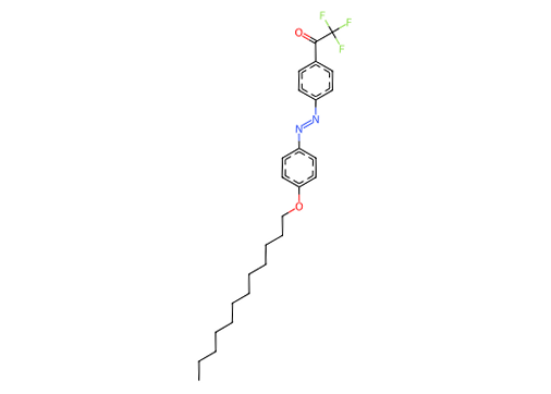 CCCCCCCCCCCCOc1ccc(/N=N/c2ccc(C(=O)C(F)(F)F)cc2)cc1